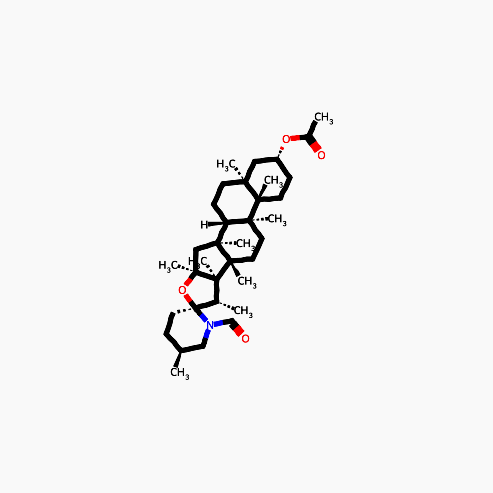 CC(=O)O[C@@H]1CC[C@@]2(C)[C@@](C)(CC[C@@H]3[C@]2(C)CC[C@]2(C)[C@@]4(C)[C@H](C)[C@]5(CC[C@H](C)CN5C=O)O[C@@]4(C)C[C@@]32C)C1